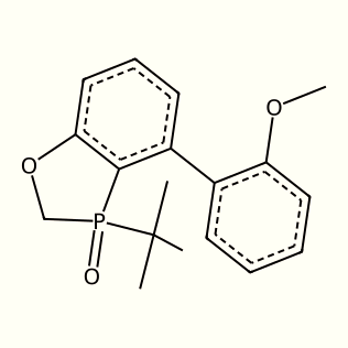 COc1ccccc1-c1cccc2c1P(=O)(C(C)(C)C)CO2